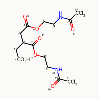 O=C(O)CC(CC(=O)OCCNC(=O)C(Cl)(Cl)Cl)C(=O)OCCNC(=O)C(Cl)(Cl)Cl